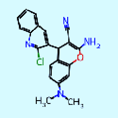 CN(C)c1ccc2c(c1)OC(N)=C(C#N)C2c1cc2ccccc2nc1Cl